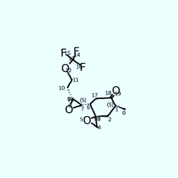 C[C@H]1C[C@]2(CO2)C([C@@H]2O[C@@H]2CCOC(F)(F)F)CC1=O